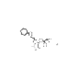 C=CC(=O)OC(C)OCCOC1CCCCC1